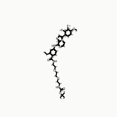 CCc1cc(Nc2nccn3c(-c4ccc(OC)c(F)c4F)cnc23)ccc1C(=O)NCCOCCOCCNC(=O)OC(C)(C)C